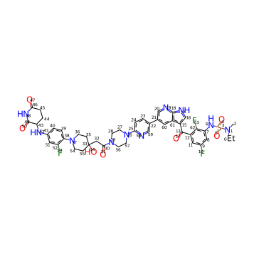 CCN(C)S(=O)(=O)Nc1cc(F)cc(C(=O)c2c[nH]c3ncc(-c4ccc(N5CCN(C(=O)CC6(O)CCN(c7ccc(NC8CCC(=O)NC8=O)cc7F)CC6)CC5)nc4)cc23)c1F